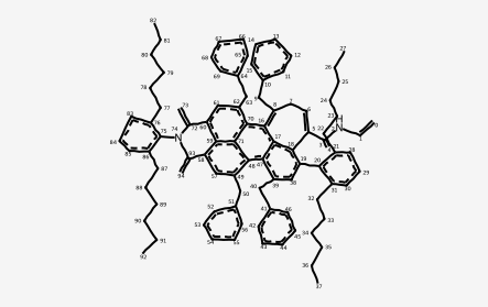 C=CNC(=C)C1=CCC(Cc2ccccc2)=c2c3c1c(-c1c(CCCCCC)cccc1CCCCCC)cc(Cc1ccccc1)c3c1c(Cc3ccccc3)cc3c4c(cc(Cc5ccccc5)c2c41)C(=C)N(c1c(CCCCCC)cccc1CCCCCC)C3=C